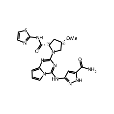 CO[C@H]1C[C@@H](C(=O)Nc2nccs2)N(c2nc(Nc3cc(C(N)=O)[nH]n3)n3cccc3n2)C1